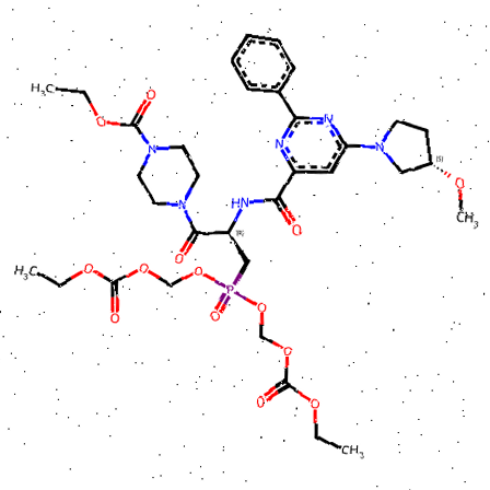 CCOC(=O)OCOP(=O)(C[C@H](NC(=O)c1cc(N2CC[C@H](OC)C2)nc(-c2ccccc2)n1)C(=O)N1CCN(C(=O)OCC)CC1)OCOC(=O)OCC